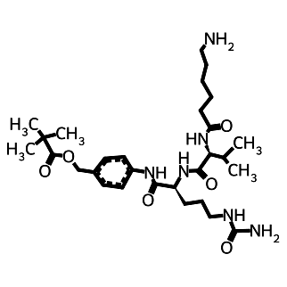 CC(C)[C@H](NC(=O)CCCCCN)C(=O)N[C@@H](CCCNC(N)=O)C(=O)Nc1ccc(COC(=O)C(C)(C)C)cc1